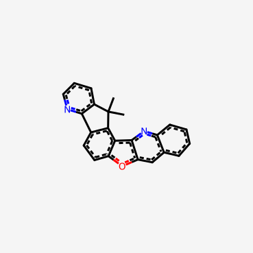 CC1(C)c2cccnc2-c2ccc3oc4cc5ccccc5nc4c3c21